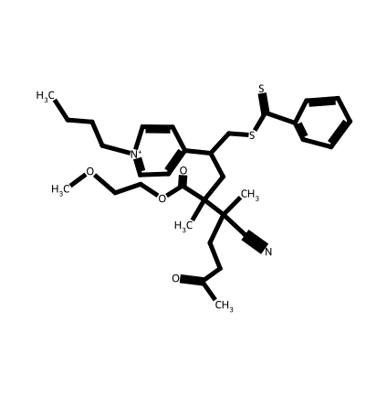 CCCC[n+]1ccc(C(CSC(=S)c2ccccc2)CC(C)(C(=O)OCCOC)C(C)(C#N)CCC(C)=O)cc1